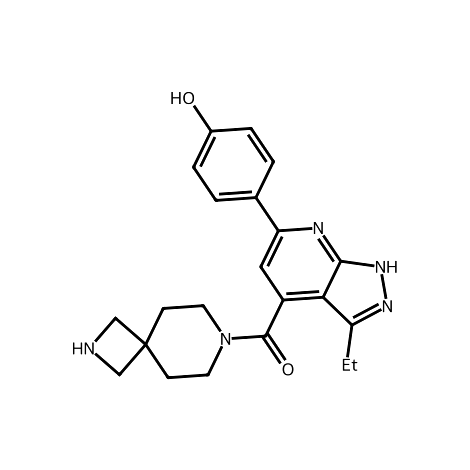 CCc1n[nH]c2nc(-c3ccc(O)cc3)cc(C(=O)N3CCC4(CC3)CNC4)c12